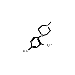 CCOC(=O)c1cc([N+](=O)[O-])ccc1N1CCN(C)CC1